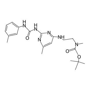 Cc1cccc(NC(=O)Nc2nc(C)cc(NCCN(C)C(=O)OC(C)(C)C)n2)c1